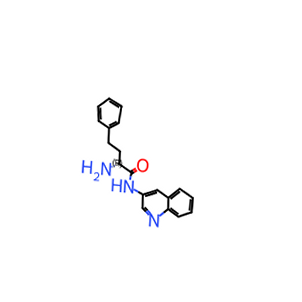 N[C@H](CCc1ccccc1)C(=O)Nc1cnc2ccccc2c1